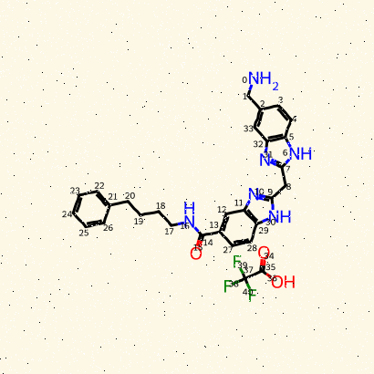 NCc1ccc2[nH]c(Cc3nc4cc(C(=O)NCCCCc5ccccc5)ccc4[nH]3)nc2c1.O=C(O)C(F)(F)F